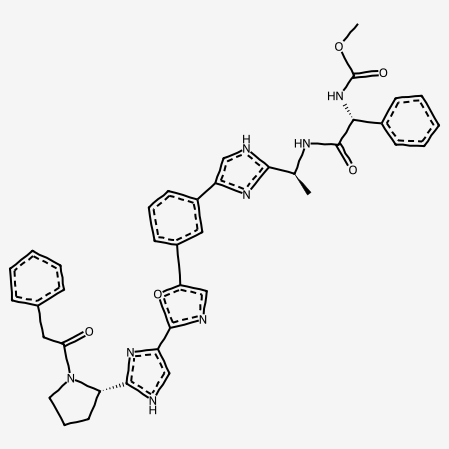 COC(=O)N[C@@H](C(=O)N[C@@H](C)c1nc(-c2cccc(-c3cnc(-c4c[nH]c([C@@H]5CCCN5C(=O)Cc5ccccc5)n4)o3)c2)c[nH]1)c1ccccc1